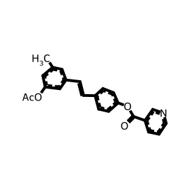 CC(=O)Oc1cc(C)cc(/C=C/c2ccc(OC(=O)c3cccnc3)cc2)c1